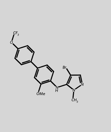 COc1cc(-c2ccc(OC(F)(F)F)cc2)ccc1Nc1c(Br)cnn1C